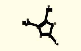 Cc1cc(I)sc1O